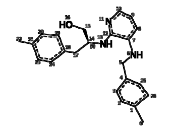 Cc1ccc(CNc2cccnc2N[C@H](CO)Cc2ccc(C)cc2)cc1